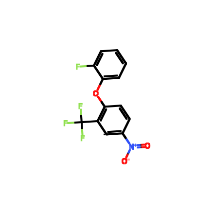 O=[N+]([O-])c1[c]c(C(F)(F)F)c(Oc2ccccc2F)cc1